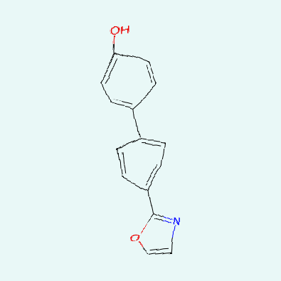 Oc1ccc(-c2ccc(-c3ncco3)cc2)cc1